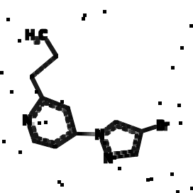 CCCc1cc(-n2cc(Br)cn2)ccn1